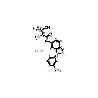 Cc1cccc(-n2ncc3ccc(NC(=O)[C@@H](N)[C@@H](C)O)cc32)c1.Cl